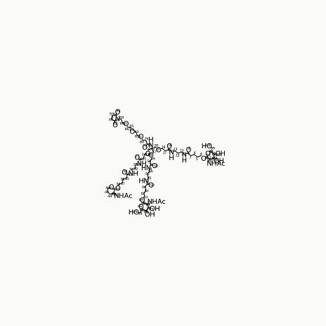 CC(=O)N[C@H]1[C@H](OCCCCC(=O)NCCCNC(=O)CCOCC(COCCC(=O)NCCCNC(=O)CCCCOC2OCCC[C@H]2NC(C)=O)(COCCC(=O)NCCCNC(=O)CCCCO[C@@H]2O[C@H](CO)[C@H](O)[C@H](O)[C@H]2NC(C)=O)NC(=O)CCOCCOCCOCCN2C(=O)C=CC2=O)O[C@H](CO)[C@H](O)[C@@H]1O